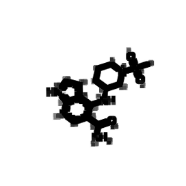 CS(=O)(=O)N1CCC[C@H](Nc2c(C(N)=O)cnc3[nH]ccc23)C1